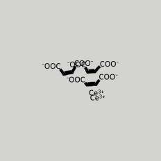 O=C([O-])/C=C\C(=O)[O-].O=C([O-])/C=C\C(=O)[O-].O=C([O-])/C=C\C(=O)[O-].[Ce+3].[Ce+3]